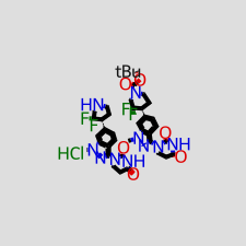 Cl.Cn1nc(N2CCC(=O)NC2=O)c2ccc([C@H]3CCN(C(=O)OC(C)(C)C)CC3(F)F)cc21.Cn1nc(N2CCC(=O)NC2=O)c2ccc([C@H]3CCNCC3(F)F)cc21